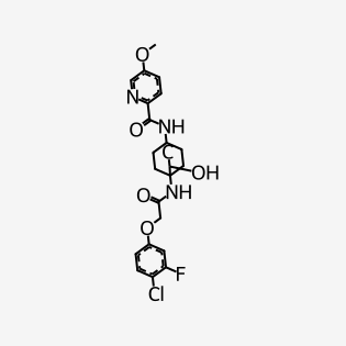 COc1ccc(C(=O)NC23CCC(NC(=O)COc4ccc(Cl)c(F)c4)(CC2)C(O)C3)nc1